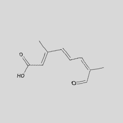 CC(C=O)=CC=CC(C)=CC(=O)O